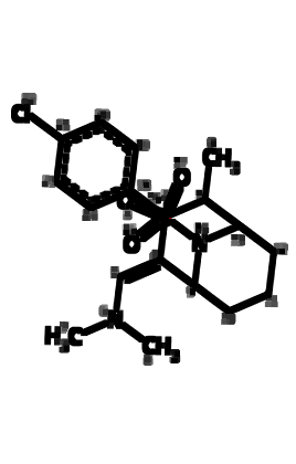 CC1C(=O)/C(=C/N(C)C)C2CCCC1N2S(=O)(=O)c1ccc(Cl)cc1